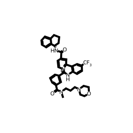 CN(CCCN1CCOCC1)C(=O)c1cccc(C(=O)Nc2ccc(C(F)(F)F)cc2-c2cc(C(=O)N[C@H]3CCCc4ccccc43)ccn2)c1